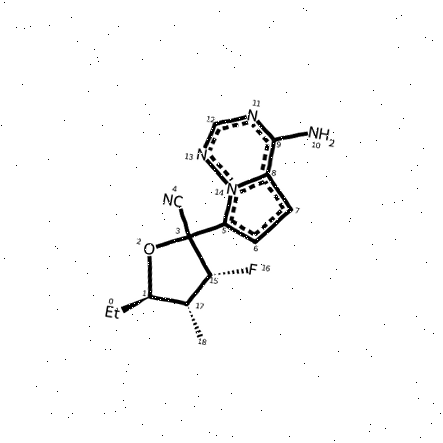 CC[C@H]1OC(C#N)(c2ccc3c(N)ncnn23)[C@H](F)[C@@H]1C